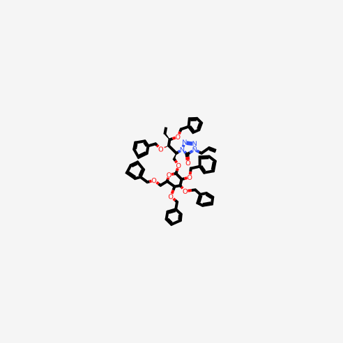 C=CCn1nnn([C@@H](COC2OC(COCc3ccccc3)C(OCc3ccccc3)C(OCc3ccccc3)C2OCc2ccccc2)[C@H](OCc2ccccc2)[C@@H](CC)OCc2ccccc2)c1=O